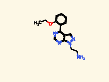 CCOc1ccccc1-c1ncnc2c1cnn2CCN